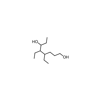 CCC(O)C(CC)C(CC)CCCO